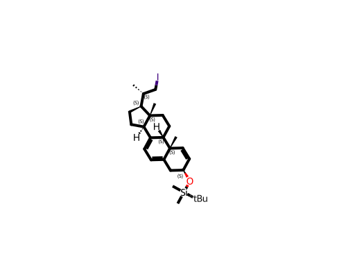 C[C@H](CI)[C@@H]1CC[C@@H]2C3=CC=C4C[C@H](O[Si](C)(C)C(C)(C)C)C=C[C@@]4(C)[C@H]3CC[C@]21C